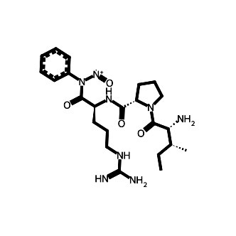 CC[C@@H](C)[C@@H](N)C(=O)N1CCC[C@H]1C(=O)N[C@@H](CCCNC(=N)N)C(=O)N([N+]=O)c1ccccc1